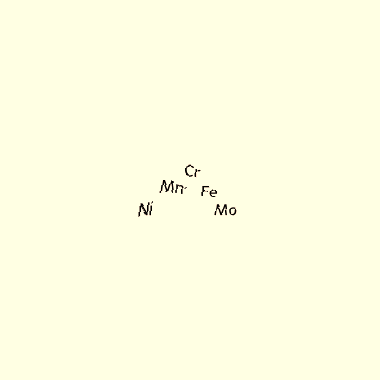 [Cr].[Fe].[Mn].[Mo].[Ni]